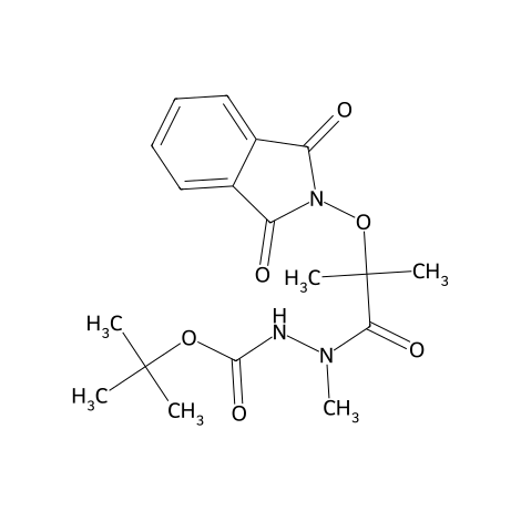 CN(NC(=O)OC(C)(C)C)C(=O)C(C)(C)ON1C(=O)c2ccccc2C1=O